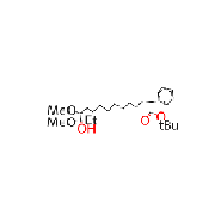 CCC(O)(OC)C(CCCCCCCCCC(C(=O)OC(C)(C)C)c1ccccc1)OC